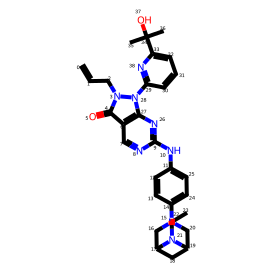 C=CCn1c(=O)c2cnc(Nc3ccc(N4CC5CC(C4)N5CC)cc3)nc2n1-c1cccc(C(C)(C)O)n1